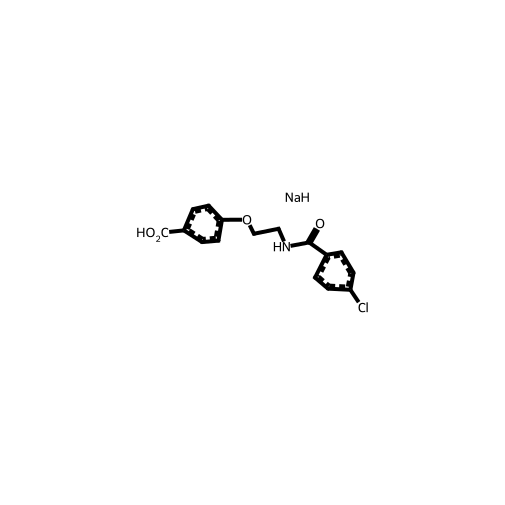 O=C(O)c1ccc(OCCNC(=O)c2ccc(Cl)cc2)cc1.[NaH]